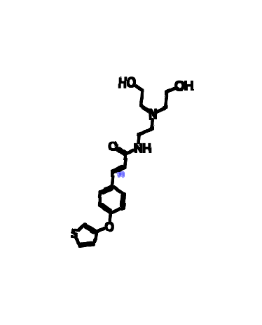 O=C(/C=C/c1ccc(Oc2ccsc2)cc1)NCCN(CCO)CCO